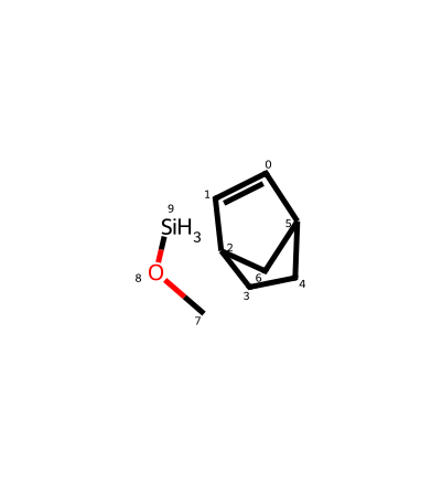 C1=CC2CCC1C2.CO[SiH3]